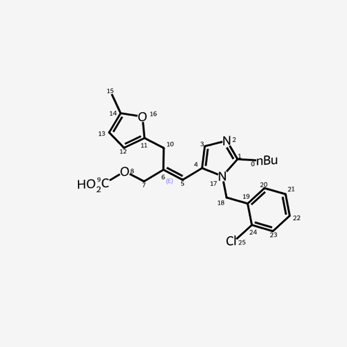 CCCCc1ncc(/C=C(/COC(=O)O)Cc2ccc(C)o2)n1Cc1ccccc1Cl